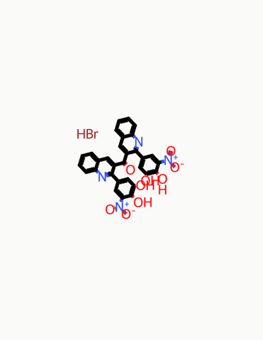 Br.O=C(c1cc2ccccc2nc1-c1cc(O)c(O)c([N+](=O)[O-])c1)c1cc2ccccc2nc1-c1cc(O)c(O)c([N+](=O)[O-])c1